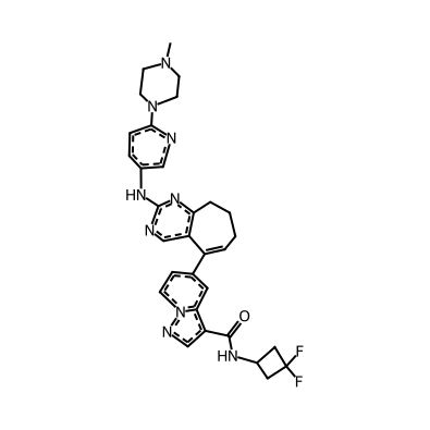 CN1CCN(c2ccc(Nc3ncc4c(n3)CCCC=C4c3ccn4ncc(C(=O)NC5CC(F)(F)C5)c4c3)cn2)CC1